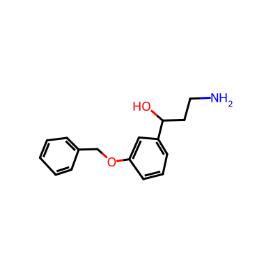 NCCC(O)c1cccc(OCc2ccccc2)c1